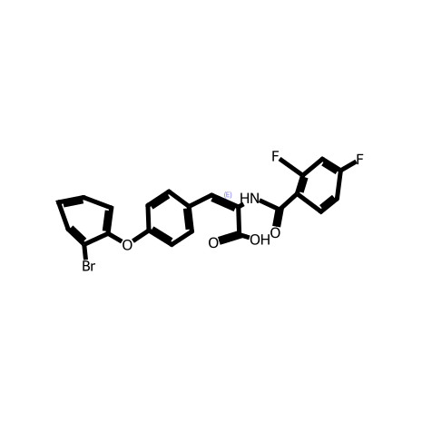 O=C(O)/C(=C\c1ccc(Oc2ccccc2Br)cc1)NC(=O)c1ccc(F)cc1F